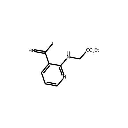 CCOC(=O)CNc1ncccc1C(=N)I